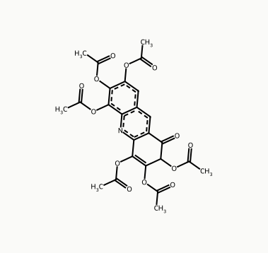 CC(=O)OC1=C(OC(C)=O)C(OC(C)=O)C(=O)c2cc3cc(OC(C)=O)c(OC(C)=O)c(OC(C)=O)c3nc21